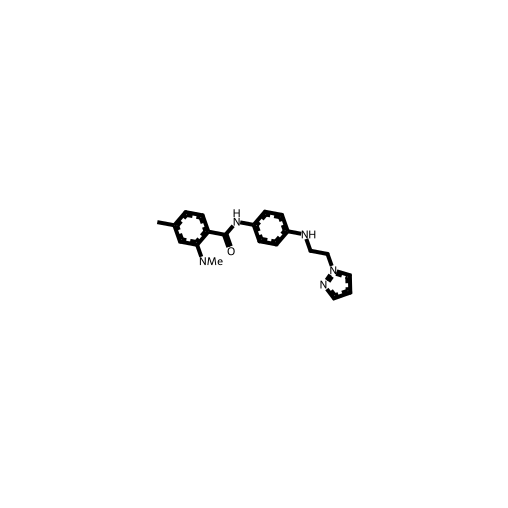 CNc1cc(C)ccc1C(=O)Nc1ccc(NCCn2cccn2)cc1